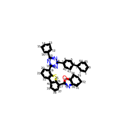 c1ccc(-c2ccc(-c3nc(-c4ccccc4)nc(-c4cccc5c4sc4c(-c6nc7ccccc7o6)cccc45)n3)cc2)cc1